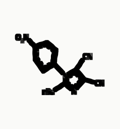 CCCCc1nc(C#N)c(C#N)n1-c1ccc([N+](=O)[O-])cc1